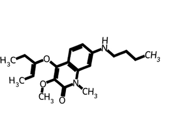 CC=C(CC)Oc1c(OC)c(=O)n(C)c2cc(NCCCC)ccc12